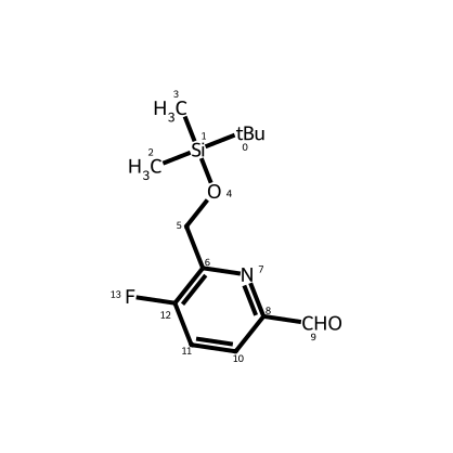 CC(C)(C)[Si](C)(C)OCc1nc(C=O)ccc1F